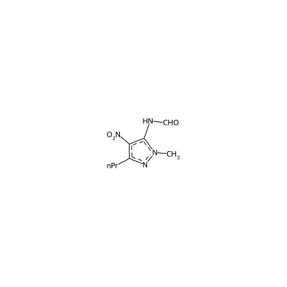 CCCc1nn(C)c(NC=O)c1[N+](=O)[O-]